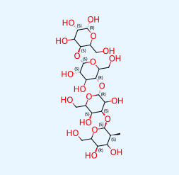 C[C@H]1C(O)[C@@H](O)C(CO)O[C@H]1O[C@@H]1C(O)[C@@H](O[C@H]2C(CO)O[C@@H](O[C@@H]3C(CO)O[C@@H](O)[C@@H](O)C3O)[C@@H](O)C2O)OC(CO)[C@@H]1O